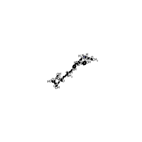 CCC(=O)NCCNC(=O)/N=C(/N)NCCC[C@@H](NC(=O)Cc1ccc(NCCCNC(=O)[C@H](N)CCCCNC(C=O)N2CCN(CC(=O)O)CCN(CC(=O)O)CCN(CC(=O)O)CC2)cc1)C(=O)NCc1ccc(O)cc1